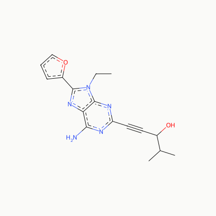 CCn1c(-c2ccco2)nc2c(N)nc(C#CC(O)C(C)C)nc21